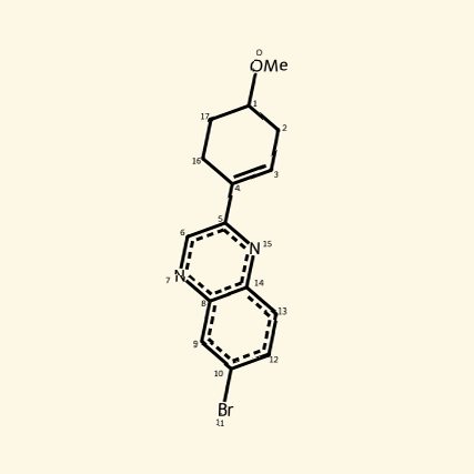 COC1CC=C(c2cnc3cc(Br)ccc3n2)CC1